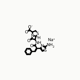 Nc1nc(/C(=C/c2ccccc2)C(=O)NC2C(=O)N3C(C(=O)[O-])CS[C@@H]23)cs1.[Na+]